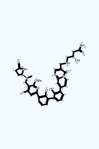 COc1nc(-c2cccc(-c3cccc(-c4ccn5c(=O)c(CNC[C@@H](O)CC(N)=O)cnc5c4)c3Cl)c2Cl)cc(F)c1CN(C)[C@H]1CCC(=O)N1